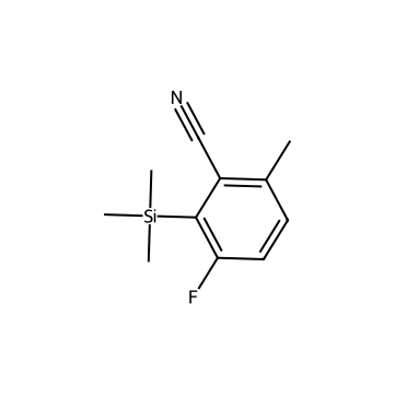 Cc1ccc(F)c([Si](C)(C)C)c1C#N